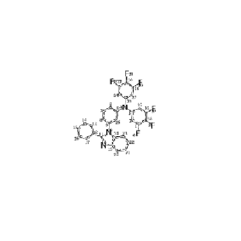 Fc1cc(N(c2cccc(-n3c(-c4ccccc4)nc4ccccc43)c2)c2cc(F)c(F)c(F)c2)cc(F)c1F